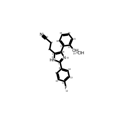 Cl.N#CCCc1[nH]c(-c2ccc(F)cc2)nc1-c1ccccc1O